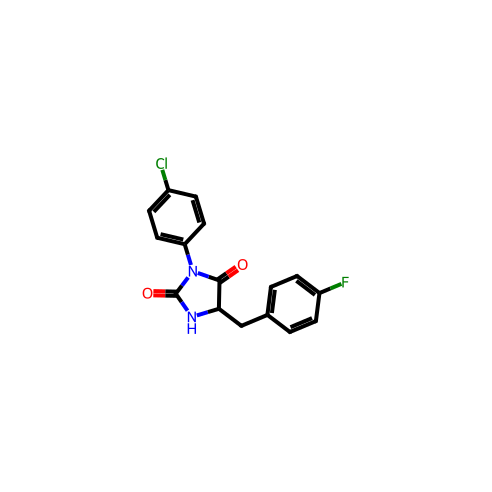 O=C1NC(Cc2ccc(F)cc2)C(=O)N1c1ccc(Cl)cc1